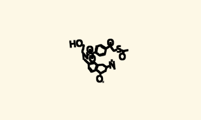 COC1CC(N(C)C)Cc2cc(CN(CCO)S(=O)(=O)c3ccc(C(=O)CSC(C)=O)cc3)ccc21